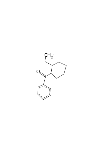 [CH2]CC1CCCCC1C(=O)c1ccccc1